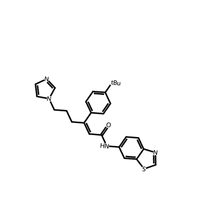 CC(C)(C)c1ccc(/C(=C\C(=O)Nc2ccc3ncsc3c2)CCCn2ccnc2)cc1